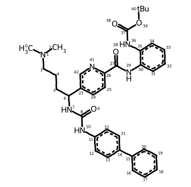 CN(C)CCCC(NC(=O)Nc1ccc(-c2ccccc2)cc1)c1ccc(C(=O)Nc2ccccc2NC(=O)OC(C)(C)C)nc1